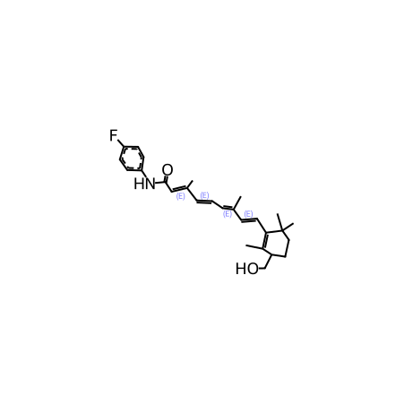 CC1=C(/C=C/C(C)=C/C=C/C(C)=C/C(=O)Nc2ccc(F)cc2)C(C)(C)CCC1CO